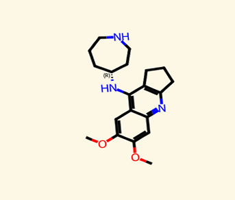 COc1cc2nc3c(c(N[C@@H]4CCCNCC4)c2cc1OC)CCC3